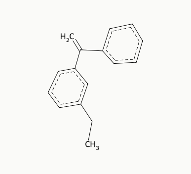 C=C(c1ccccc1)c1cccc(CC)c1